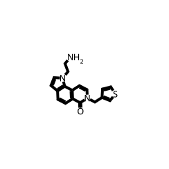 NCCn1ccc2ccc3c(=O)n(Cc4ccsc4)ccc3c21